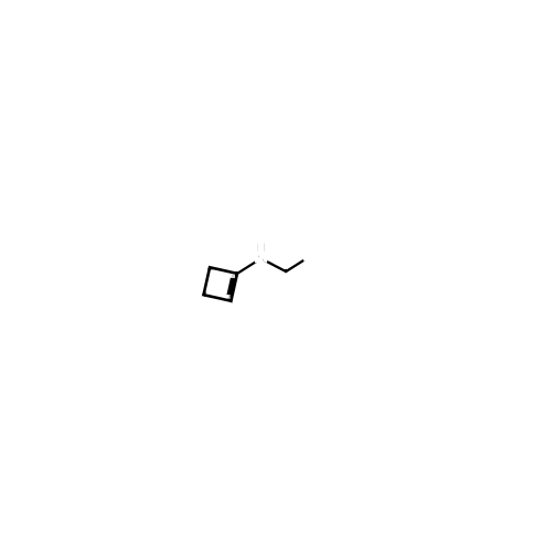 O=C(O)CNC1=CCC1